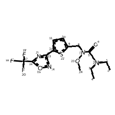 CCN(CC)C(=O)N(Cc1ccc(-c2noc(C(F)(F)F)n2)s1)OC